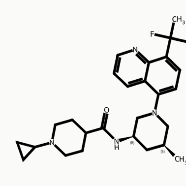 C[C@H]1C[C@@H](NC(=O)C2CCN(C3CC3)CC2)CN(c2ccc(C(C)(F)F)c3ncccc23)C1